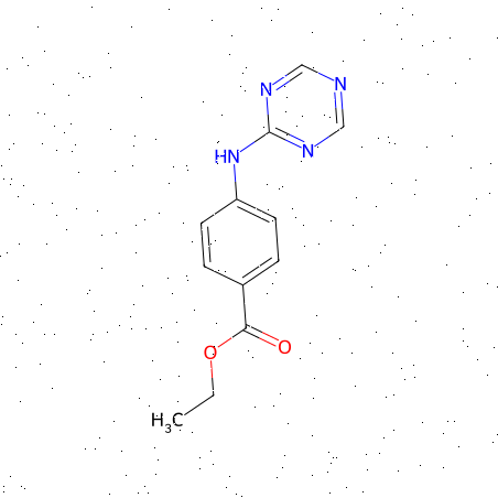 CCOC(=O)c1ccc(Nc2ncncn2)cc1